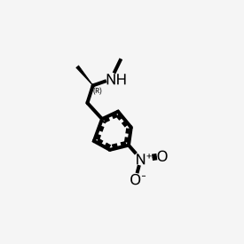 CN[C@H](C)Cc1ccc([N+](=O)[O-])cc1